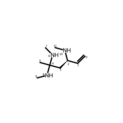 C=C[C@@H](CC(C)(NC)NC)NC